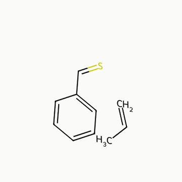 C=CC.S=Cc1ccccc1